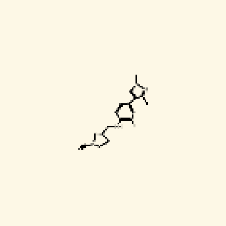 Cc1nn(C)cc1-c1ccc(NCC2CCN(C#N)C2)c(F)c1